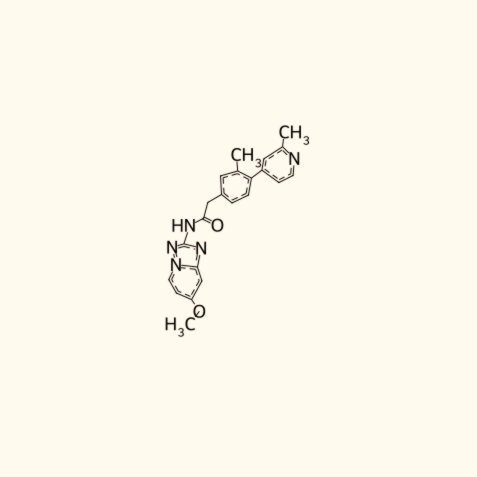 COc1ccn2nc(NC(=O)Cc3ccc(-c4ccnc(C)c4)c(C)c3)nc2c1